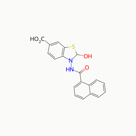 O=C(O)c1ccc2c(c1)SC(O)N2NC(=O)c1cccc2ccccc12